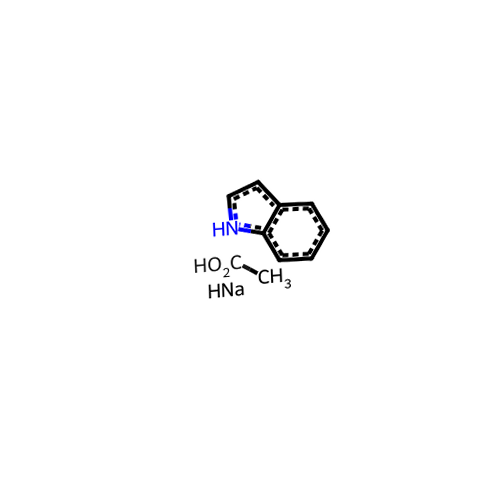 CC(=O)O.[NaH].c1ccc2[nH]ccc2c1